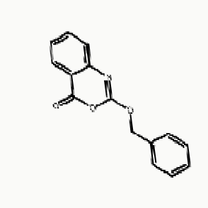 O=c1oc(OCc2ccccc2)nc2ccccc12